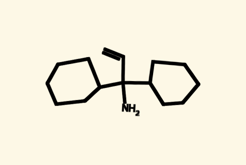 C=CC(N)(C1CCCCC1)C1CCCCC1